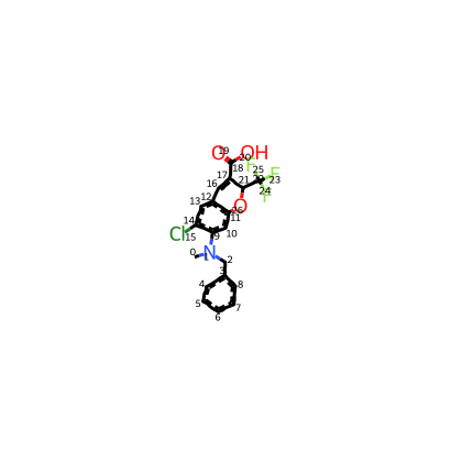 CN(Cc1ccccc1)c1cc2c(cc1Cl)C=C(C(=O)O)C(C(F)(F)F)O2